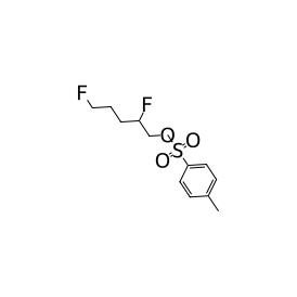 Cc1ccc(S(=O)(=O)OCC(F)CCCF)cc1